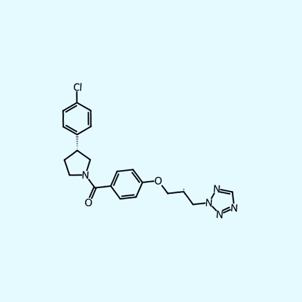 O=C(c1ccc(OC[CH]Cn2ncnn2)cc1)N1CC[C@H](c2ccc(Cl)cc2)C1